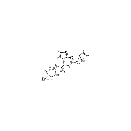 O=C(CCP(Oc1cccs1)Oc1cccs1)Cc1ccc(Br)cc1